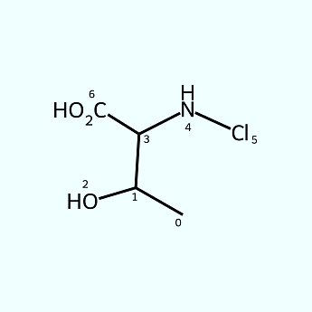 CC(O)C(NCl)C(=O)O